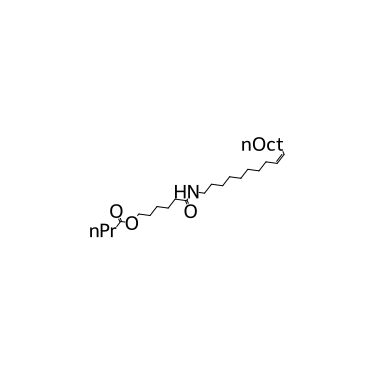 CCCCCCCC/C=C\CCCCCCCCNC(=O)CCCCCOC(=O)CCC